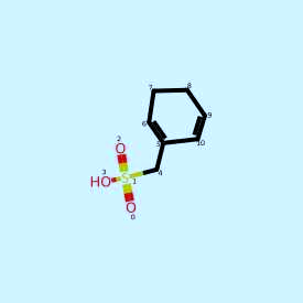 O=S(=O)(O)CC1=CCCC=C1